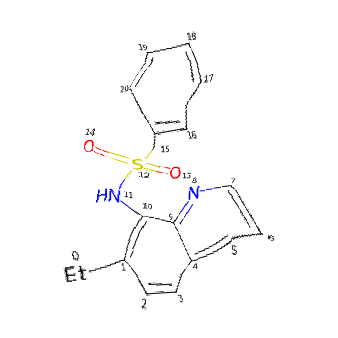 CCc1ccc2cccnc2c1NS(=O)(=O)c1ccccc1